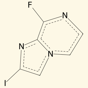 Fc1nccn2cc(I)nc12